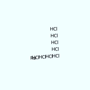 Cl.Cl.Cl.Cl.Cl.Cl.Cl.Cl.[Ru]